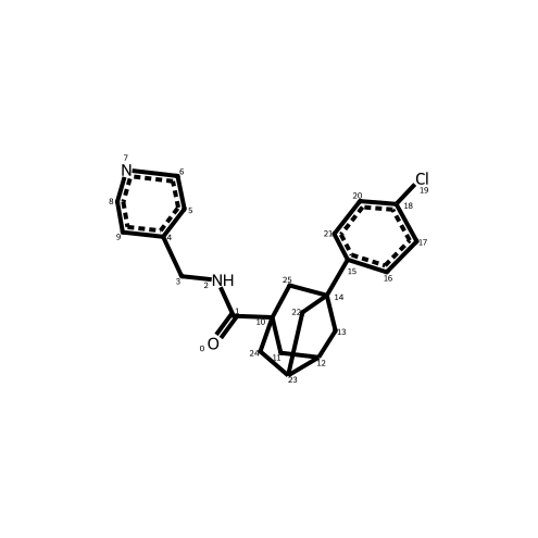 O=C(NCc1ccncc1)C12CC3CC(c4ccc(Cl)cc4)(CC3C1)C2